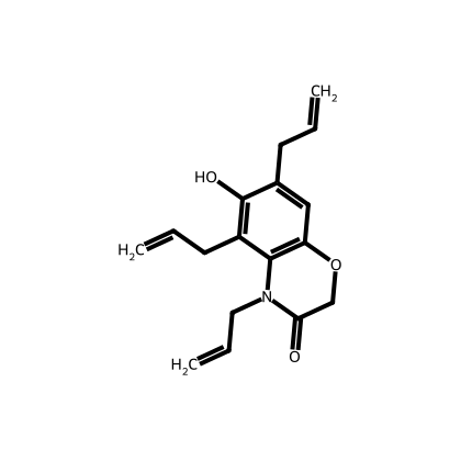 C=CCc1cc2c(c(CC=C)c1O)N(CC=C)C(=O)CO2